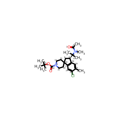 CC(=O)N(C)C(C)(C)[C@@H]1CC2(CCN(C(=O)OC(C)(C)C)CC2)c2cc(Cl)c(C)cc21